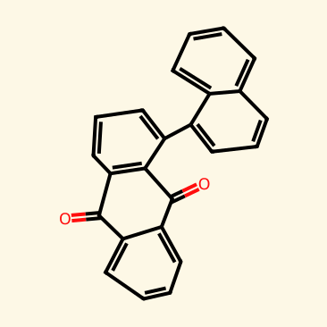 O=C1c2ccccc2C(=O)c2c1cccc2-c1cccc2ccccc12